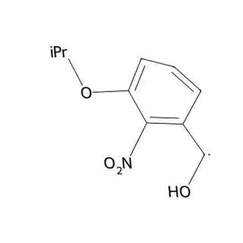 CC(C)Oc1cccc([CH]O)c1[N+](=O)[O-]